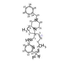 CC/C=C\C(CC)(CNc1cccc(C(F)(F)F)n1)N1CCN(Cc2ccccc2)CC1